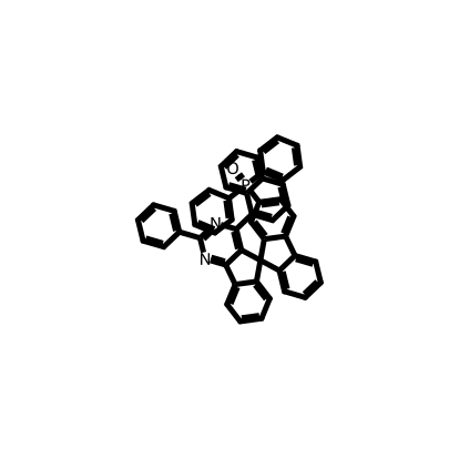 O=P(c1ccccc1)(c1ccccc1)c1ccc2c(c1)C1(c3ccccc3-2)c2ccccc2-c2nc(-c3ccccc3)nc(-c3cccc4ccccc34)c21